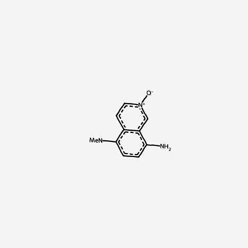 CNc1ccc(N)c2c[n+]([O-])ccc12